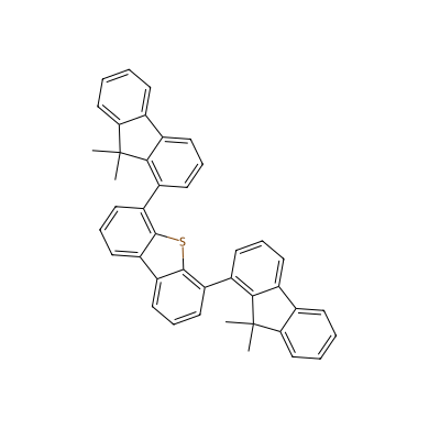 CC1(C)c2ccccc2-c2cccc(-c3cccc4c3sc3c(-c5cccc6c5C(C)(C)c5ccccc5-6)cccc34)c21